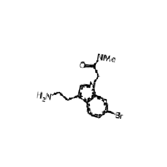 CNC(=O)Cn1cc(CCN)c2ccc(Br)cc21